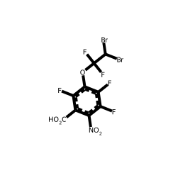 O=C(O)c1c(F)c(OC(F)(F)C(Br)Br)c(F)c(F)c1[N+](=O)[O-]